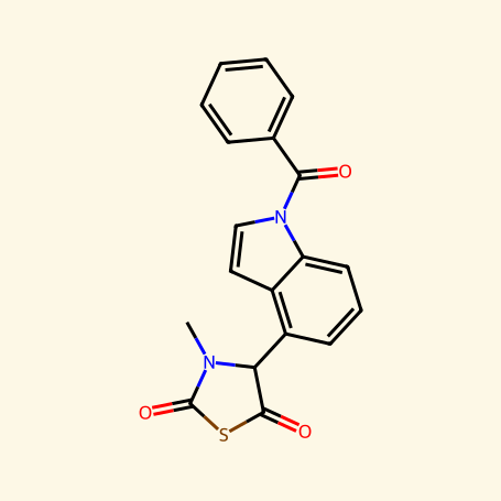 CN1C(=O)SC(=O)C1c1cccc2c1ccn2C(=O)c1ccccc1